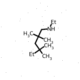 CCNCC(C)(C)CC(C)(C)CC